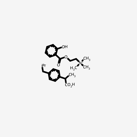 CC(C)Cc1ccc(C(C)C(=O)O)cc1.C[N+](C)(C)CCOC(=O)c1ccccc1O